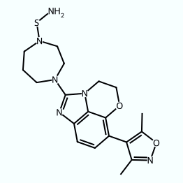 Cc1noc(C)c1-c1ccc2nc(N3CCCN(SN)CC3)n3c2c1OCC3